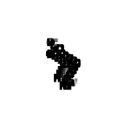 O.O.O.O.O.O.O.O.O.O=[Si]([O-])[O-].[Na+].[Na+]